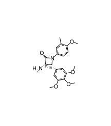 COc1ccc(N2C(=O)[C@@H](N)[C@H]2c2cc(OC)c(OC)c(OC)c2)cc1C